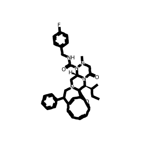 CCC(C)[C@@H]1N2C(=O)CN(C)N(C(=O)NCc3ccc(F)cc3)[C@H]2CN2CC(c3ccccc3)C3=CC4OC(/C=C\C=C/3)C412